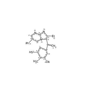 C=C(c1cc(S)c(C)c(C#N)c1)c1c(CC)nc2ncc(C(C)C)cn12